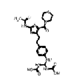 CC(=O)Nc1nc(CCc2ccc(NC(NC(=O)O)NC(=O)O)cc2)c(C(=O)N2CCSCC2)s1